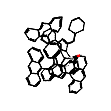 [CH3][Zr]([CH3])(=[SiH2])([CH]1C(CC2CCCCC2)=Cc2c(-c3c4ccccc4cc4ccccc34)ccc(-c3c4ccccc4cc4ccccc34)c21)[CH]1C(CC2CCCCC2)=Cc2c(-c3c4ccccc4cc4ccccc34)ccc(-c3c4ccccc4cc4ccccc34)c21